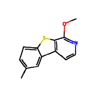 COc1nccc2c1sc1ccc(C)cc12